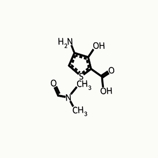 CN(C)C=O.Nc1csc(C(=O)O)c1O